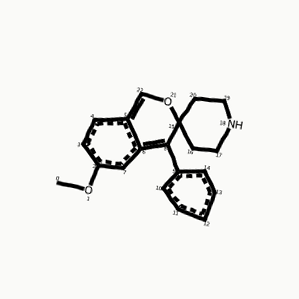 COc1ccc2c(c1)=C(c1ccccc1)C1(CCNCC1)OC=2